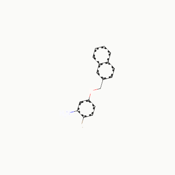 Nc1cc(OCc2ccc3ccccc3c2)ccc1Br